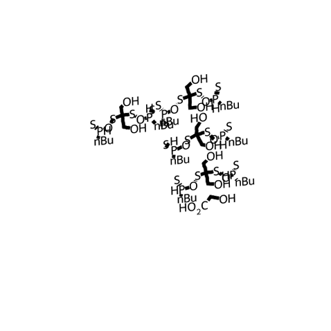 CCCC[PH](=S)OSC(CO)(CO)SO[PH](=S)CCCC.CCCC[PH](=S)OSC(CO)(CO)SO[PH](=S)CCCC.CCCC[PH](=S)OSC(CO)(CO)SO[PH](=S)CCCC.CCCC[PH](=S)OSC(CO)(CO)SO[PH](=S)CCCC.O=C(O)CO